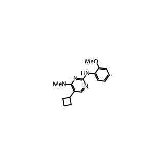 CNc1nc(Nc2cc[c]cc2OC)ncc1C1CCC1